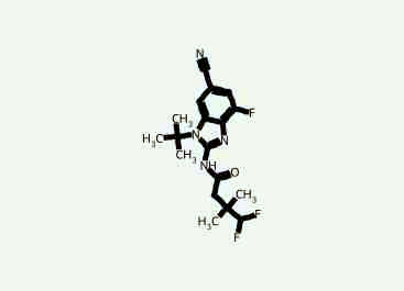 CC(C)(CC(=O)Nc1nc2c(F)cc(C#N)cc2n1C(C)(C)C)C(F)F